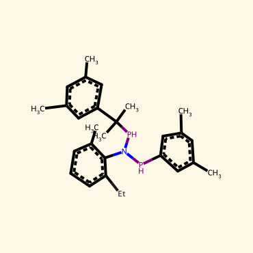 CCc1cccc(C)c1N(Pc1cc(C)cc(C)c1)PC(C)(C)c1cc(C)cc(C)c1